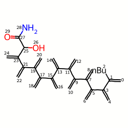 C=C(CCCC)C(=C)C(=C)C(=C)C(=C)C(=C)C(=C)C(=C)C(=C)C(=C)C(=C)C(=C)C(O)C(N)=O